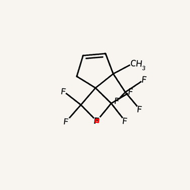 CC1(C(F)(F)F)C=CCC1(C(F)(F)F)C(F)(F)F